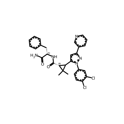 CC1(C)C(c2cc(-c3cccnc3)nn2-c2ccc(Cl)c(Cl)c2)[C@H]1C(=O)N[C@@H](Cc1ccccc1)C(N)=O